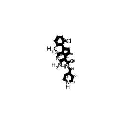 Cc1cccc(Cl)c1C1=CC=C2C(C(=O)NCC3CCNCC3)=C(N)N=CC21